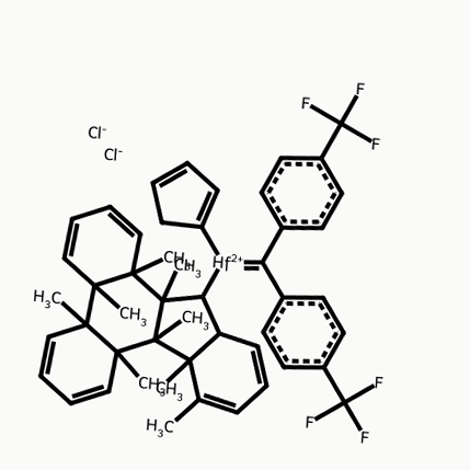 CC1=CC=CC2[CH]([Hf+2]([C]3=CC=CC3)=[C](c3ccc(C(F)(F)F)cc3)c3ccc(C(F)(F)F)cc3)C3(C)C4(C)C=CC=CC4(C)C4(C)C=CC=CC4(C)C3(C)C12C.[Cl-].[Cl-]